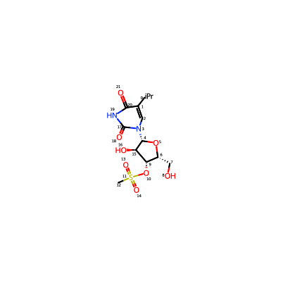 CC(C)c1cn([C@@H]2O[C@H](CO)[C@H](OS(C)(=O)=O)[C@H]2O)c(=O)[nH]c1=O